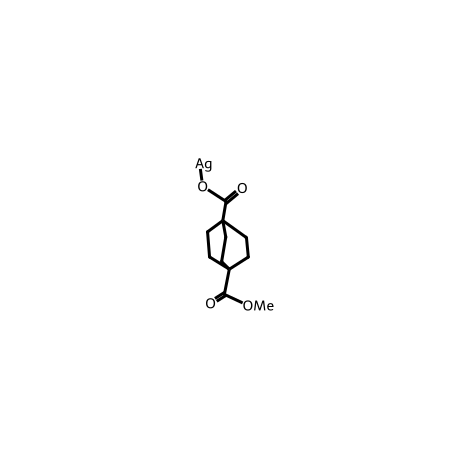 COC(=O)C12CCC(C(=O)[O][Ag])(CC1)CC2